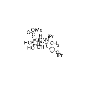 COC(=O)OC[C@H]1O[C@@](O)(Oc2nn(C(C)C)c(C)c2Cc2ccc(OC(C)C)cc2)[C@H](O)[C@@H](O)[C@@H]1O